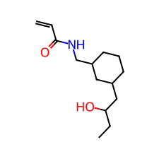 C=CC(=O)NCC1CCCC(CC(O)CC)C1